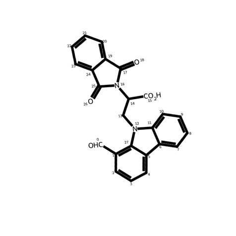 O=Cc1cccc2c3ccccc3n(CC(C(=O)O)N3C(=O)c4ccccc4C3=O)c12